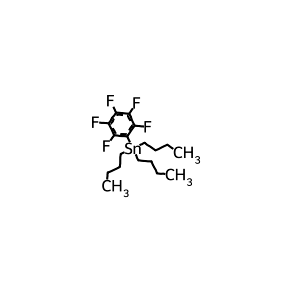 CCC[CH2][Sn]([CH2]CCC)([CH2]CCC)[c]1c(F)c(F)c(F)c(F)c1F